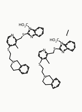 Cc1c(SCCN2CCc3ccccc3C2)ccnc1CSc1nc2ccccc2n1C(=O)O.Cc1c(SCCN2CCc3ccccc3C2)ccnc1CSc1nc2ccccc2n1C(=O)O.[CH2]C